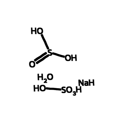 O.O=S(=O)(O)O.O=S(O)O.[NaH]